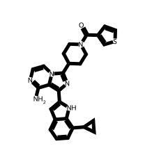 Nc1nccn2c(C3CCN(C(=O)c4ccsc4)CC3)nc(-c3cc4cccc(C5CC5)c4[nH]3)c12